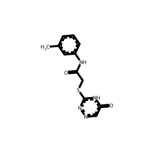 Cc1cccc(NC(=O)CSc2nncc(=O)[nH]2)c1